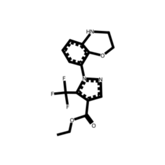 CCOC(=O)c1cnn(-c2cccc3c2OCCN3)c1C(F)(F)F